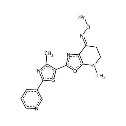 CCCO/N=C1\CCN(C)c2oc(-c3sc(-c4cccnc4)nc3C)nc21